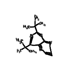 CC(C)(C)c1nc(C(C)(C)C)c2nccnc2n1